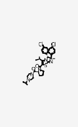 CC(C)C1=C(C(=O)N2CCC[C@H]2C(=O)N2CCN(C(C)C)CC2)SC2=N[C@@](C)(c3ccc(Cl)cc3)[C@@H](c3ccc(Cl)cc3)N21